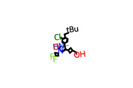 CC(C)(C)CCc1ccc([C@]2(C)NC(=O)N(C3CC(F)(F)C3)C=C2C2CC(CO)C2)cc1Cl